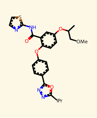 COCC(C)Oc1ccc(Oc2ccc(-c3nnc(C(C)C)o3)cc2)c(C(=O)Nc2nccs2)c1